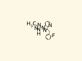 Cc1n[nH]c(-n2nc(Cc3ccccc3F)c3ncccc32)n1